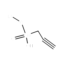 C#CC[SH](=O)(O)OCC